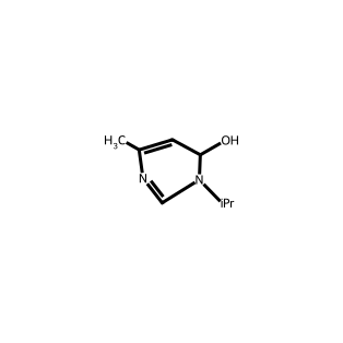 CC1=CC(O)N(C(C)C)C=N1